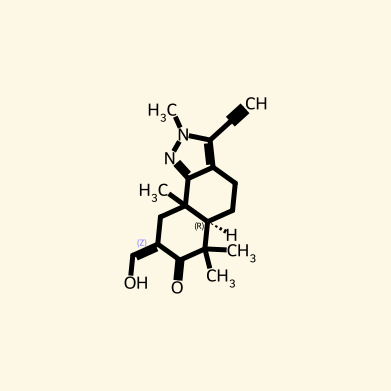 C#Cc1c2c(nn1C)C1(C)C/C(=C/O)C(=O)C(C)(C)[C@@H]1CC2